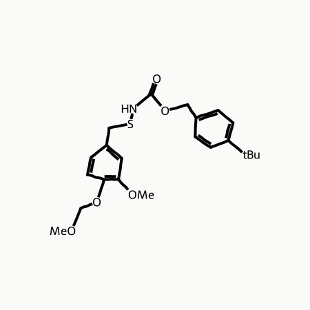 COCOc1ccc(CSNC(=O)OCc2ccc(C(C)(C)C)cc2)cc1OC